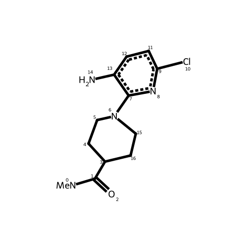 CNC(=O)C1CCN(c2nc(Cl)ccc2N)CC1